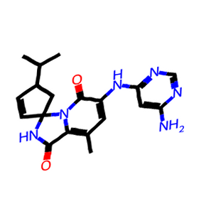 Cc1cc(Nc2cc(N)ncn2)c(=O)n2c1C(=O)NC21C=CC(C(C)C)C1